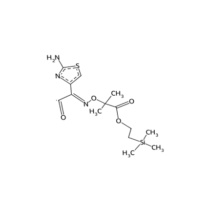 CC(C)(O/N=C(/[C]=O)c1csc(N)n1)C(=O)OCC[Si](C)(C)C